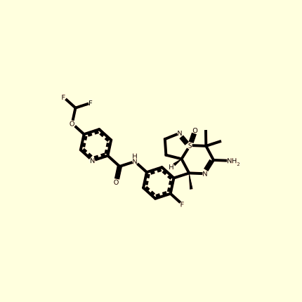 CC1(C)C(N)=N[C@](C)(c2cc(NC(=O)c3ccc(OC(F)F)cn3)ccc2F)[C@@H]2CCN=S21=O